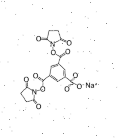 O=C(ON1C(=O)CCC1=O)c1cc(C(=O)ON2C(=O)CCC2=O)cc(S(=O)(=O)[O-])c1.[Na+]